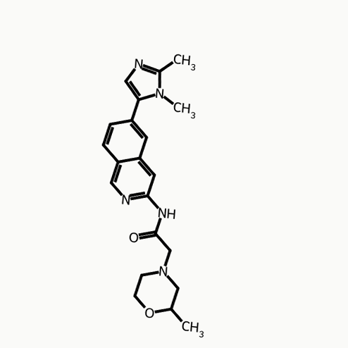 Cc1ncc(-c2ccc3cnc(NC(=O)CN4CCOC(C)C4)cc3c2)n1C